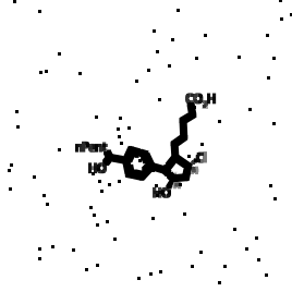 CCCCCC(O)c1ccc(C2C(CCCCC(=O)O)[C@H](Cl)C[C@H]2O)cc1